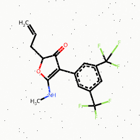 C=CCC1OC(NC)=C(c2cc(C(F)(F)F)cc(C(F)(F)F)c2)C1=O